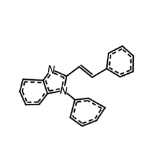 C(=C\c1nc2ccccc2n1-c1ccccc1)/c1ccccc1